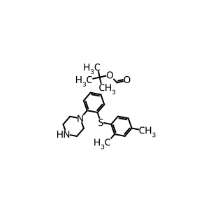 CC(C)(C)OC=O.Cc1ccc(Sc2ccccc2N2CCNCC2)c(C)c1